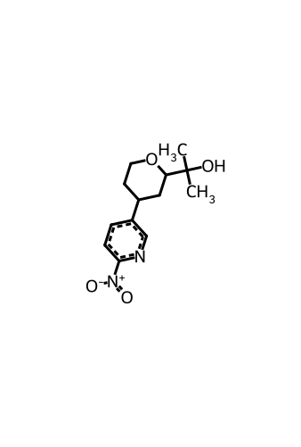 CC(C)(O)C1CC(c2ccc([N+](=O)[O-])nc2)CCO1